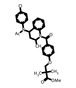 COC(=O)C(C)(C)COc1ccc(C(=O)N2c3ccccc3C(N(C(C)=O)c3ccc(Cl)cc3)CC2C)cc1